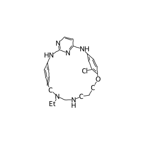 CCN1CNCCCOc2ccc(cc2Cl)Nc2ccnc(n2)Nc2ccc(cc2)C1